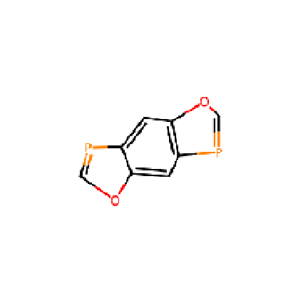 c1oc2cc3pcoc3cc2p1